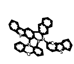 c1ccc2c(c1)Oc1cccc3c1N2c1c2c(cc4c1sc1ccccc14)-c1cc4ccccc4cc1N(c1ccc4sc5ccccc5c4c1)B32